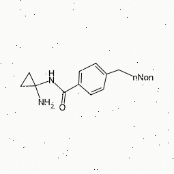 CCCCCCCCCCc1ccc(C(=O)NC2(N)CC2)cc1